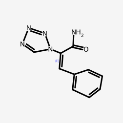 NC(=O)/C(=C\c1ccccc1)n1cnnn1